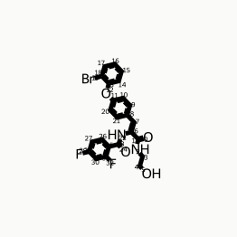 O=C(NCCO)C(=Cc1ccc(Oc2ccccc2Br)cc1)NC(=O)c1ccc(F)cc1F